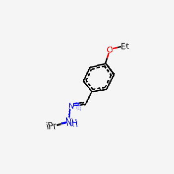 CCOc1ccc(/C=N/NC(C)C)cc1